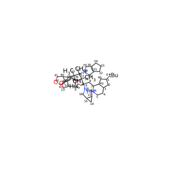 CC(C)(C)C1CC2CCNC(CC(C)(N3CC4CC4C3)C(C)(C3C=C4OCC4C3)C(C)(N3CC4=C(CCC4)C3)C(C)(C)C3C4COCC43)C2C1